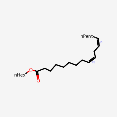 CCCCC/C=C\C/C=C\CCCCCCCC(=O)OCCCCCC